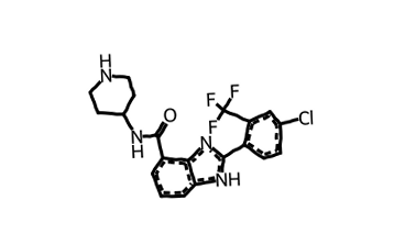 O=C(NC1CCNCC1)c1cccc2[nH]c(-c3ccc(Cl)cc3C(F)(F)F)nc12